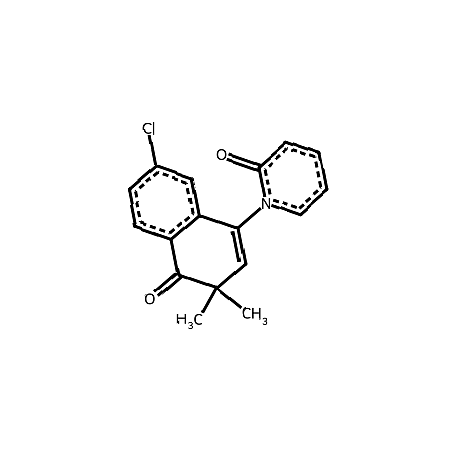 CC1(C)C=C(n2ccccc2=O)c2cc(Cl)ccc2C1=O